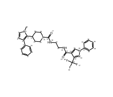 Cn1cnc(-c2ccccc2)c1C1CCN(C(=O)NCCNC(=O)c2cn(-c3ccccc3)nc2C(F)(F)F)CC1